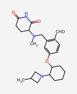 CC1CN(C2CCCCC2Oc2ccc(C=O)c(CN(C)C3CCC(=O)NC3=O)c2)C1